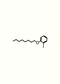 CCCCCCCCOc1ccccc1I